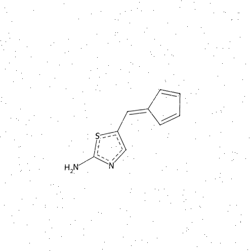 Nc1ncc(C=C2C=CC=C2)s1